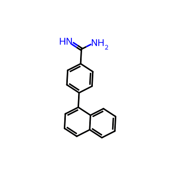 N=C(N)c1ccc(-c2cccc3ccccc23)cc1